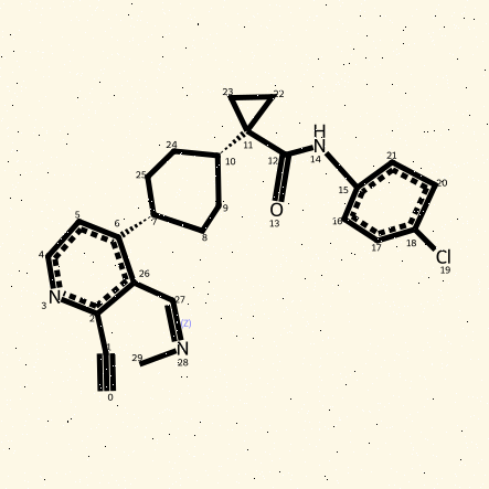 C#Cc1nccc([C@H]2CC[C@@H](C3(C(=O)Nc4ccc(Cl)cc4)CC3)CC2)c1/C=N\C